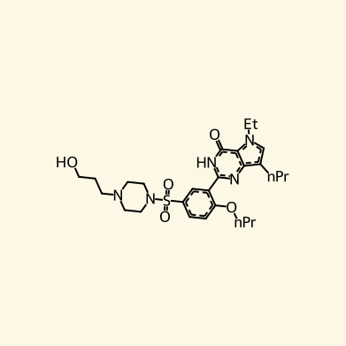 CCCOc1ccc(S(=O)(=O)N2CCN(CCCO)CC2)cc1-c1nc2c(CCC)cn(CC)c2c(=O)[nH]1